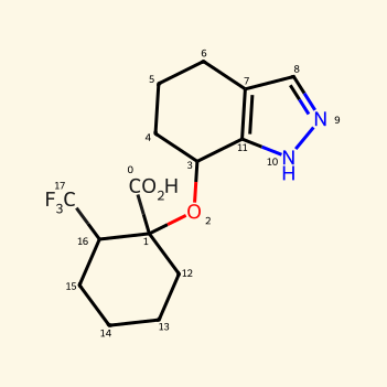 O=C(O)C1(OC2CCCc3cn[nH]c32)CCCCC1C(F)(F)F